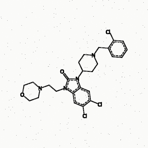 O=c1n(CCN2CCOCC2)c2cc(Cl)c(Cl)cc2n1C1CCN(Cc2ccccc2Cl)CC1